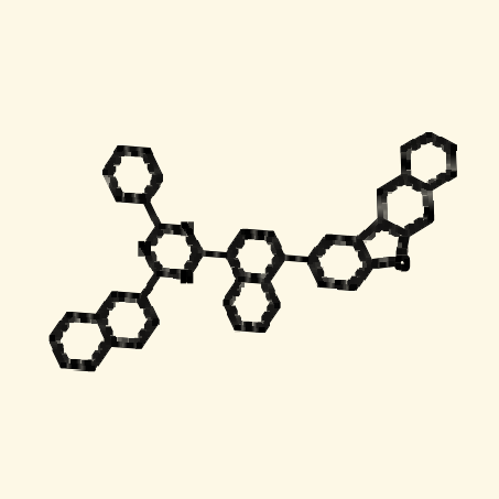 c1ccc(-c2nc(-c3ccc4ccccc4c3)nc(-c3ccc(-c4ccc5oc6cc7ccccc7cc6c5c4)c4ccccc34)n2)cc1